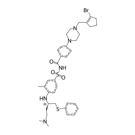 Cc1cc(S(=O)(=O)NC(=O)c2ccc(N3CCN(CC4=C(Br)CCC4)CC3)cc2)ccc1N[C@H](CCN(C)C)CSc1ccccc1